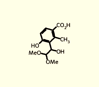 COC(OC)C(O)c1c(O)ccc(C(=O)O)c1C